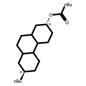 CCCCC(=O)O[C@@H]1CCC2C(CCC3C[C@H](CCCC)CCC32)C1